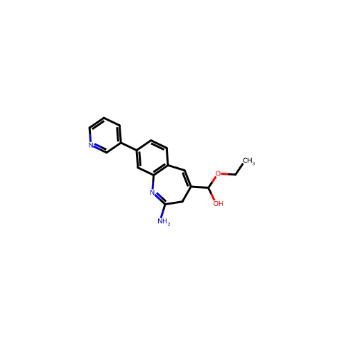 CCOC(O)C1=Cc2ccc(-c3cccnc3)cc2N=C(N)C1